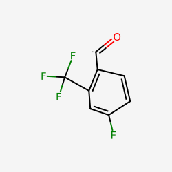 O=[C]c1ccc(F)cc1C(F)(F)F